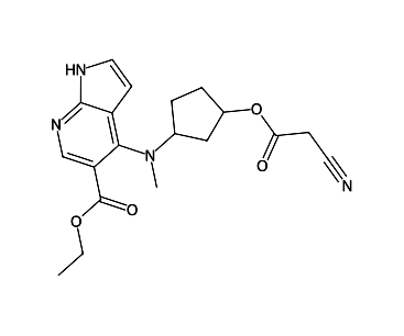 CCOC(=O)c1cnc2[nH]ccc2c1N(C)C1CCC(OC(=O)CC#N)C1